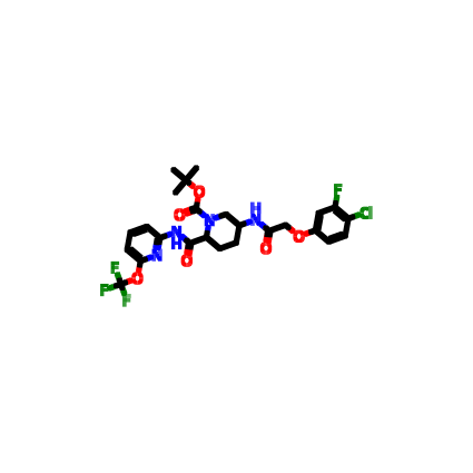 CC(C)(C)OC(=O)N1CC(NC(=O)COc2ccc(Cl)c(F)c2)CCC1C(=O)Nc1cccc(OC(F)(F)F)n1